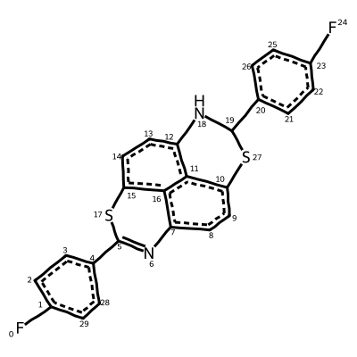 Fc1ccc(C2=Nc3ccc4c5c(ccc(c35)S2)NC(c2ccc(F)cc2)S4)cc1